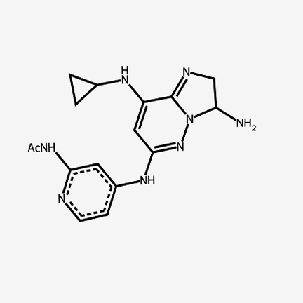 CC(=O)Nc1cc(NC2=NN3C(=NCC3N)C(NC3CC3)=C2)ccn1